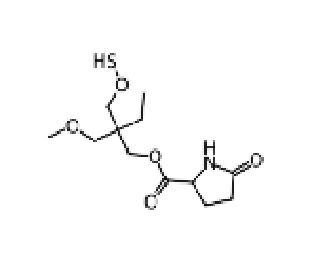 CCC(COC)(COS)COC(=O)C1CCC(=O)N1